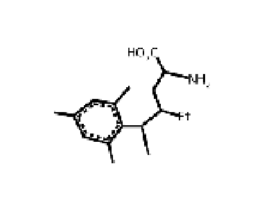 CCC(CC(N)C(=O)O)C(C)c1c(C)cc(C)cc1C